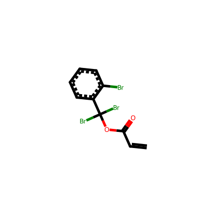 C=CC(=O)OC(Br)(Br)c1ccccc1Br